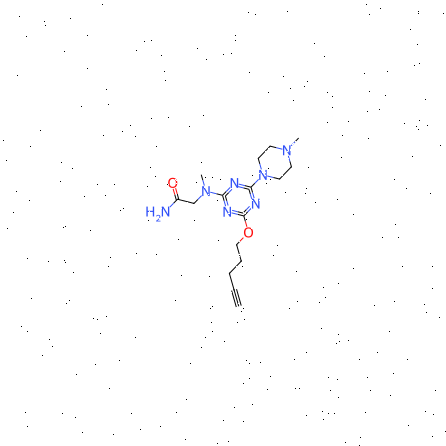 C#CCCCOc1nc(N(C)CC(N)=O)nc(N2CCN(C)CC2)n1